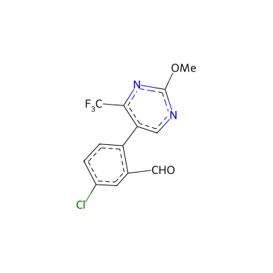 COc1ncc(-c2ccc(Cl)cc2C=O)c(C(F)(F)F)n1